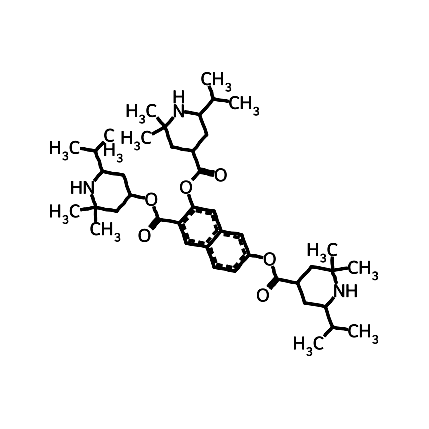 CC(C)C1CC(OC(=O)c2cc3ccc(OC(=O)C4CC(C(C)C)NC(C)(C)C4)cc3cc2OC(=O)C2CC(C(C)C)NC(C)(C)C2)CC(C)(C)N1